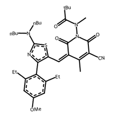 CCCCN(CCCC)c1nc(-c2c(CC)cc(OC)cc2CC)c(/C=C2\C(=O)N(N(C)C(=O)C(C)(C)C)C(=O)C(C#N)=C2C)s1